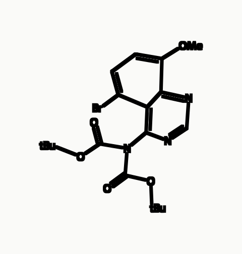 COc1ccc(Br)c2c(N(C(=O)OC(C)(C)C)C(=O)OC(C)(C)C)ncnc12